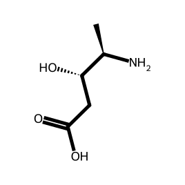 C[C@@H](N)[C@@H](O)CC(=O)O